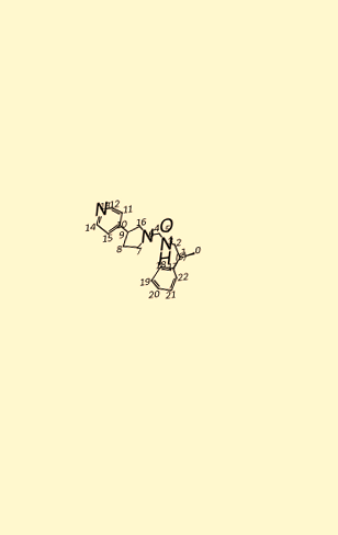 C[C@H](CNC(=O)N1CCC(c2ccncc2)C1)c1ccccc1